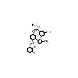 COC(=O)c1cc(O)cc(-n2c(C)ccc2-c2cc(Cl)ccc2OCc2cccc(F)c2F)c1